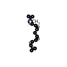 C=C1/C=C(n2c3ccccc3c3ccccc32)\C=C/CSc2ccc(-c3ccc4oc5ccc(-c6cccc(-c7ccc8oc9ccc(-c%10ccc%11sc%12ccc(-n%13c%14ccccc%14c%14ccccc%14%13)cc%12c%11c%10)cc9c8c7)c6)cc5c4c3)cc21